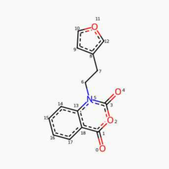 O=c1oc(=O)n(CCc2ccoc2)c2ccccc12